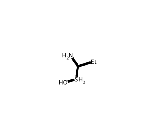 CCC(N)[SiH2]O